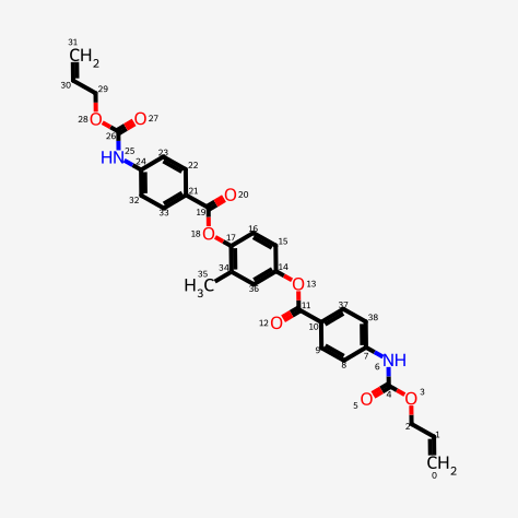 C=CCOC(=O)Nc1ccc(C(=O)Oc2ccc(OC(=O)c3ccc(NC(=O)OCC=C)cc3)c(C)c2)cc1